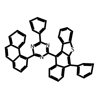 c1ccc(-c2nc(-c3cccc4ccc5ccccc5c34)nc(-c3c4ccccc4c(-c4ccccc4)c4sc5ccccc5c34)n2)cc1